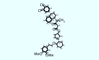 COc1ccc(CCO[C@@H]2CCCC[C@H]2N2CC[C@@H](OC(=O)CC(=O)N(C)[C@H]3CC[C@@H](c4ccc(Cl)c(Cl)c4)c4ccccc43)C2)cc1OC